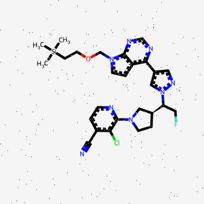 C[Si](C)(C)CCOCn1ccc2c(-c3cnn(C(CF)[C@H]4CCN(c5nccc(C#N)c5Cl)C4)c3)ncnc21